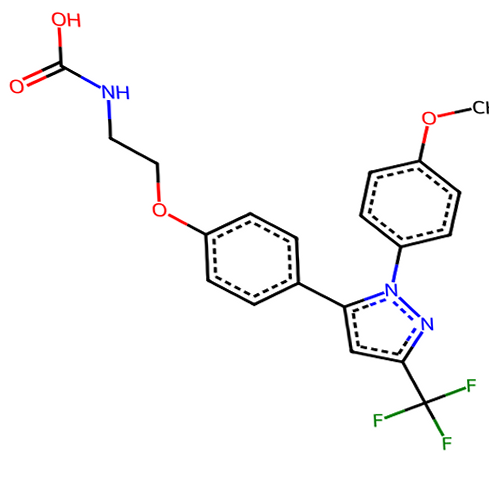 COc1ccc(-n2nc(C(F)(F)F)cc2-c2ccc(OCCNC(=O)O)cc2)cc1